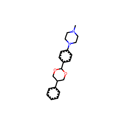 CN1CCN(c2ccc(C3OCC(c4ccccc4)CO3)cc2)CC1